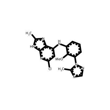 COc1c(Nc2cc(Cl)nc3[nH]c(C)nc23)cccc1-n1ncnc1C